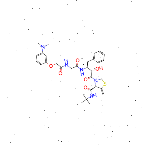 C=C1SCN(C(=O)[C@@H](O)[C@H](Cc2ccccc2)NC(=O)CNC(=O)COc2cccc(N(C)C)c2)[C@@H]1C(=O)NC(C)(C)C